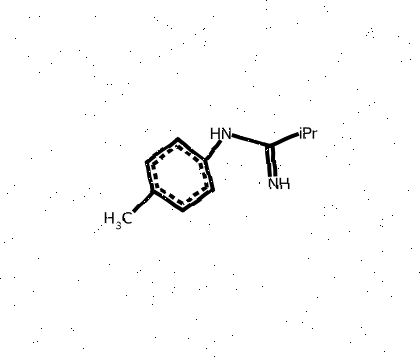 Cc1ccc(NC(=N)C(C)C)cc1